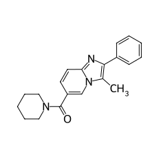 Cc1c(-c2ccccc2)nc2ccc(C(=O)N3CCCCC3)cn12